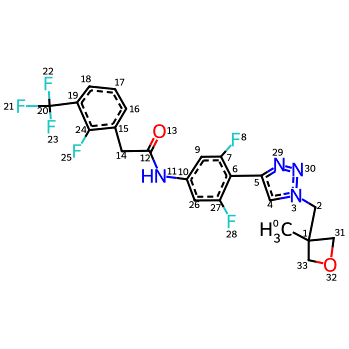 CC1(Cn2cc(-c3c(F)cc(NC(=O)Cc4cccc(C(F)(F)F)c4F)cc3F)nn2)COC1